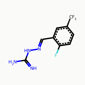 N=C(N)N/N=C/c1cc(C(F)(F)F)ccc1F